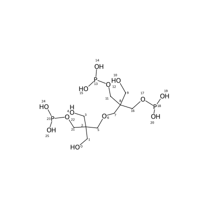 OCC(CO)(COCC(CO)(COP(O)O)COP(O)O)COP(O)O